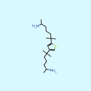 CC(N)CCCC(C)(C)c1csc(C(C)(C)CCCC(C)N)c1